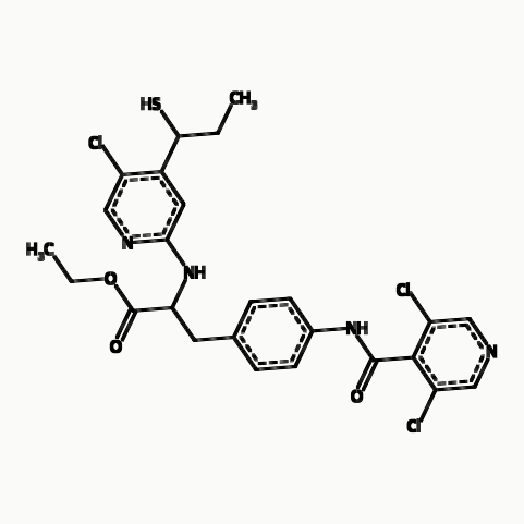 CCOC(=O)C(Cc1ccc(NC(=O)c2c(Cl)cncc2Cl)cc1)Nc1cc(C(S)CC)c(Cl)cn1